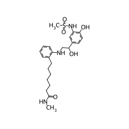 CNC(=O)CCCCCCc1ccccc1NCC(O)c1ccc(O)c(NS(C)(=O)=O)c1